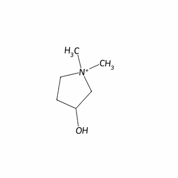 C[N+]1(C)CCC(O)C1